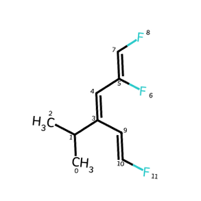 CC(C)C(=C/C(F)=C/F)/C=C/F